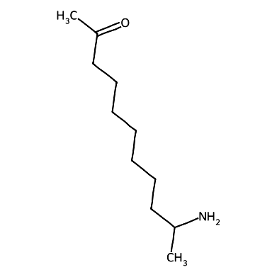 CC(=O)CCCCCCCC(C)N